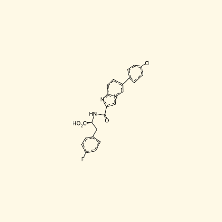 O=C(N[C@@H](Cc1ccc(F)cc1)C(=O)O)c1cn2cc(-c3ccc(Cl)cc3)ccc2n1